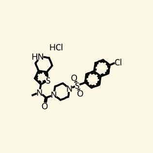 CN(C(=O)N1CCN(S(=O)(=O)c2ccc3cc(Cl)ccc3c2)CC1)c1cc2c(s1)CCNC2.Cl